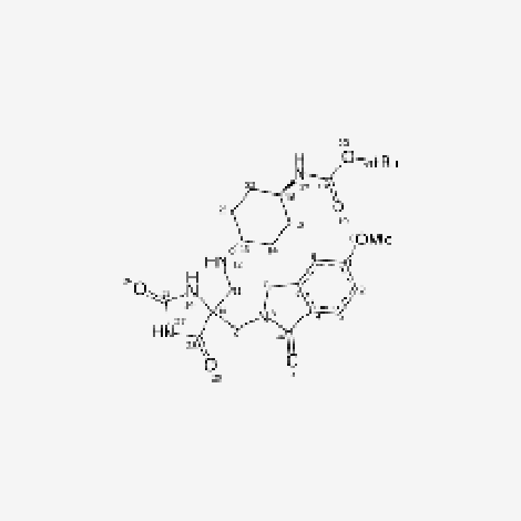 COc1ccc2c(c1)CN(CC1(CN[C@H]3CC[C@H](NC(=O)OC(C)(C)C)CC3)NC(=O)NC1=O)C2=O